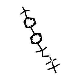 CC(C)(C)c1ccc(-c2ccc(C(C)(C)CO[Si](C)(C)C(C)(C)C)cc2)cc1